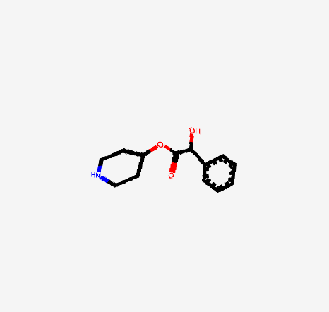 O=C(OC1CCNCC1)C(O)c1ccccc1